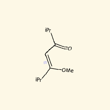 CO/C(=C\C(=O)C(C)C)C(C)C